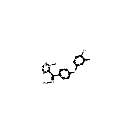 Cc1cc(Oc2ccc(/C(=N/O)c3nnnn3C)cc2)ccc1Br